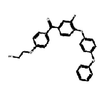 O=C(c1ccc(OCCO)cc1)c1ccc(Sc2ccc(Sc3ccccc3)cc2)c(F)c1